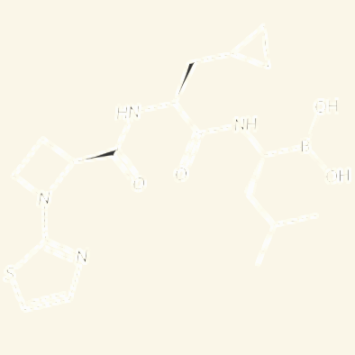 CC(C)C[C@H](NC(=O)[C@H](CC1CC1)NC(=O)[C@@H]1CCN1c1nccs1)B(O)O